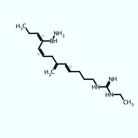 C=C(/C=C/CCCNC(=N)NCC)C/C=C\C(BN)=C/CC